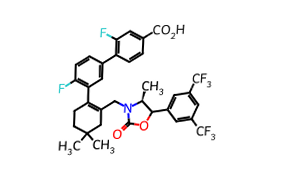 C[C@H]1C(c2cc(C(F)(F)F)cc(C(F)(F)F)c2)OC(=O)N1CC1=C(c2cc(-c3ccc(C(=O)O)cc3F)ccc2F)CCC(C)(C)C1